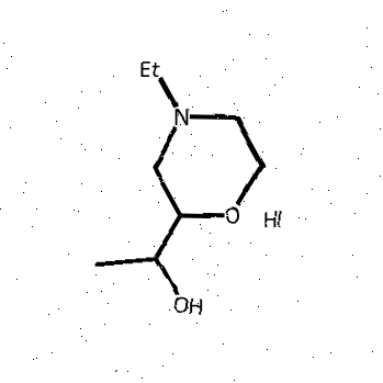 CCN1CCOC(C(C)O)C1.I